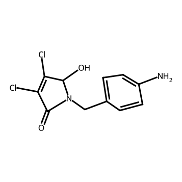 Nc1ccc(CN2C(=O)C(Cl)=C(Cl)C2O)cc1